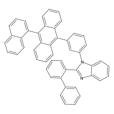 c1ccc(-c2ccccc2-c2nc3ccccc3n2-c2cccc(-c3c4ccccc4c(-c4cccc5ccccc45)c4ccccc34)c2)cc1